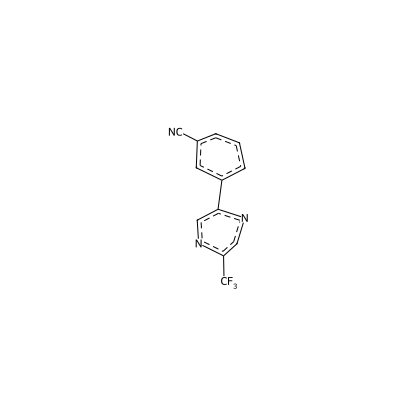 N#Cc1cccc(-c2cnc(C(F)(F)F)cn2)c1